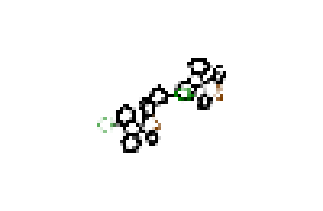 Clc1cccc2c1-c1ccccc1C21c2ccccc2Sc2c1ccc1ccc(-c3ccc4c(c3)-c3ccccc3C43c4ccccc4Sc4cccc(Cl)c43)cc21